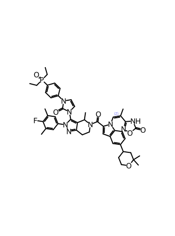 CCP(=O)(CC)c1ccc(-n2ccn(-c3c4c(nn3-c3cc(C)c(F)c(C)c3)CCN(C(=O)c3cc5cc(C6CCOC(C)(C)C6)ccc5n3/C=C(/C)c3noc(=O)[nH]3)C4C)c2=O)cc1